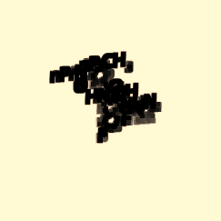 CCCN(CCC)C(=O)c1cc(C)cc(C(=O)N[C@@H](Cc2cc(F)cc(F)c2)[C@H](O)CNCc2cccnc2)c1